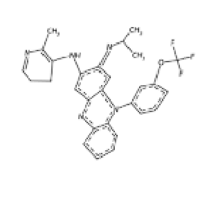 CC1=C(Nc2cc3nc4ccccc4n(-c4cccc(OC(F)(F)F)c4)c-3c/c2=N\C(C)C)CCC=N1